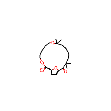 CC1(C)CCCCC(C)(C)C(=O)C2=CCC(C)(O2)C(=O)OCCCCO1